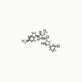 C[C@H](NC(=O)[C@H]1C[C@@H](c2cccc(Cl)c2)CN1)C(=O)NC1CCc2nc(N)ccc21